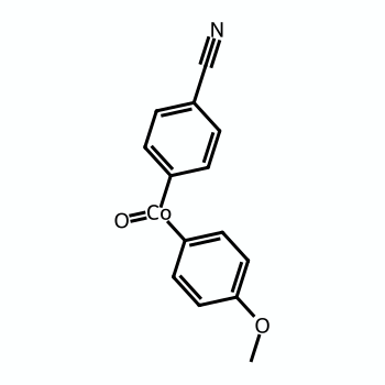 COc1cc[c]([Co](=[O])[c]2ccc(C#N)cc2)cc1